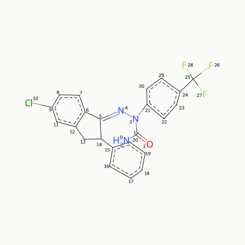 NC(=O)N(/N=C1/c2ccc(Cl)cc2CC1c1ccccc1)c1ccc(C(F)(F)F)cc1